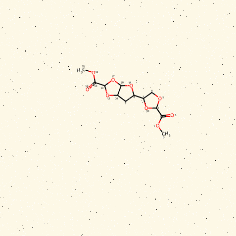 COC(=O)C1OCC(C2CC3OC(C(=O)OC)OC3O2)O1